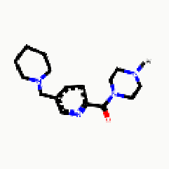 CC(C)N1CCN(C(=O)c2ccc(CN3CCCCC3)cn2)CC1